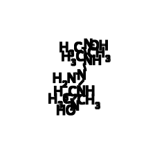 CC(=NO)C(C)(C)NCCN(CN)CCNC(C)(C)C(C)=NO